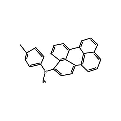 Cc1ccc(N(c2ccc3c4cccc5cccc(c6cccc2c63)c54)C(C)C)cc1